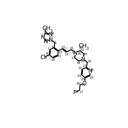 Cc1nnn(Cc2cc(Cl)ccc2/C=C/CN2CCN(Cc3ccc(OCCF)cn3)C[C@H]2C)n1